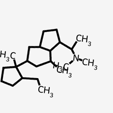 CCC1CCCC1(C)C1CC(C)C2C(CCC2C(C)N(C)C)C1